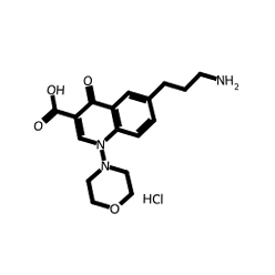 Cl.NCCCc1ccc2c(c1)c(=O)c(C(=O)O)cn2N1CCOCC1